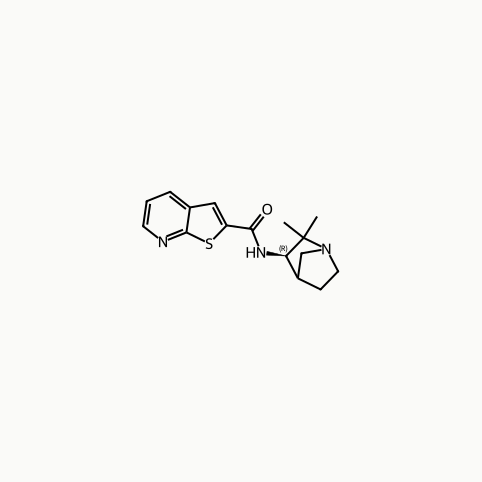 CC1(C)[C@H](NC(=O)c2cc3cccnc3s2)C2CCN1C2